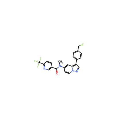 CN(C(=O)c1ccc(C(F)(F)F)nc1)c1ccn2ncc(-c3ccc(CF)cc3)c2c1